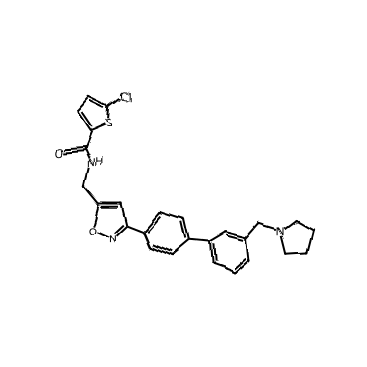 O=C(NCc1cc(-c2ccc(-c3cccc(CN4CCCC4)c3)cc2)no1)c1ccc(Cl)s1